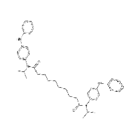 CC(C)N(C(=O)CCCCCCCCC(=O)N(c1ccc(Nc2ccccc2)cc1)C(C)C)c1ccc(Nc2ccccc2)cc1